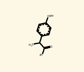 COc1ccc(C(C)C(=O)C(C)C)cc1